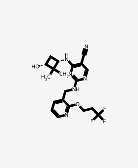 CC1(C)[C@H](O)C[C@@H]1Nc1nc(NCc2cccnc2OCCC(F)(F)F)ncc1C#N